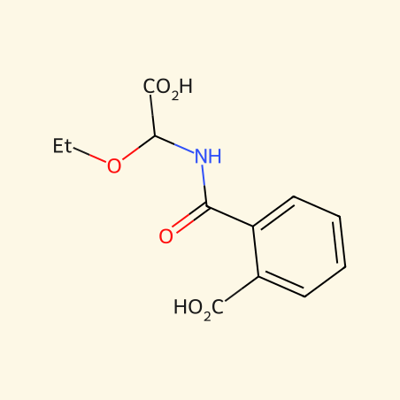 CCOC(NC(=O)c1ccccc1C(=O)O)C(=O)O